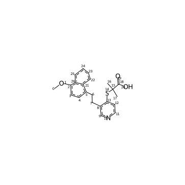 COc1ccc(CCc2cnccc2SC(C)(C)C(=O)O)c2ccccc12